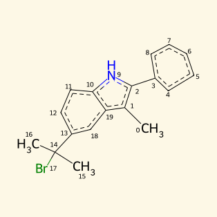 Cc1c(-c2ccccc2)[nH]c2ccc(C(C)(C)Br)cc12